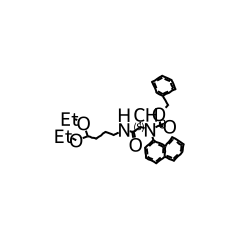 CCOC(CCCNC(=O)[C@H](C)N(C(=O)OCc1ccccc1)c1cccc2ccccc12)OCC